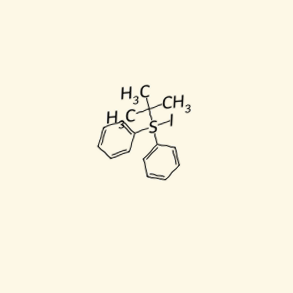 CC(C)(C)S(I)(c1ccccc1)c1ccccc1